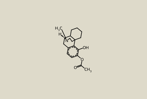 CC(=O)Oc1ccc2c(c1O)C13CCCCC1[C@@H](C2)N(C)CC3